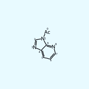 CC(=O)n1cnc2cccnc21